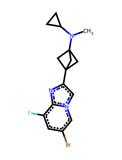 CN(C1CC1)C12CC(c3cn4cc(Br)cc(F)c4n3)(C1)C2